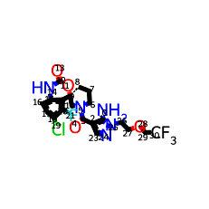 Nc1c(C(=O)N2CCC[C@@]3(C2)OC(=O)Nc2ccc(Cl)c(F)c23)cnn1CCOCC(F)(F)F